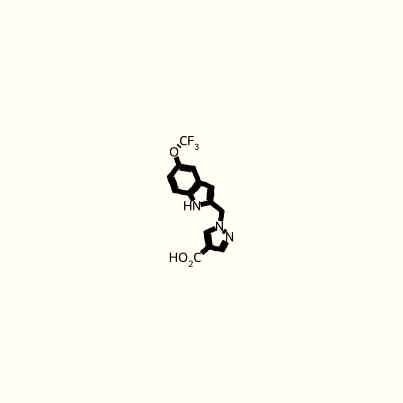 O=C(O)c1cnn(Cc2cc3cc(OC(F)(F)F)ccc3[nH]2)c1